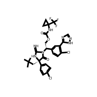 CC(C)(C)C[C@]1(c2ccc(Cl)cc2)NC(=N)N([C@H](COC(=O)NC2(C(F)(F)F)CC2)c2ccc(Cl)c(-c3ncn[nH]3)c2)C1=O